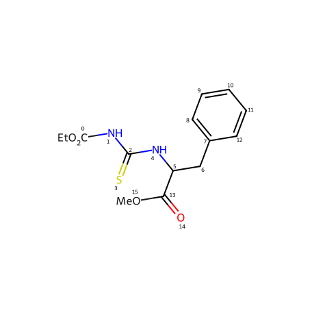 CCOC(=O)NC(=S)NC(Cc1ccccc1)C(=O)OC